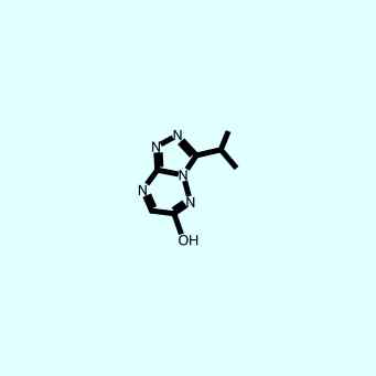 CC(C)c1nnc2ncc(O)nn12